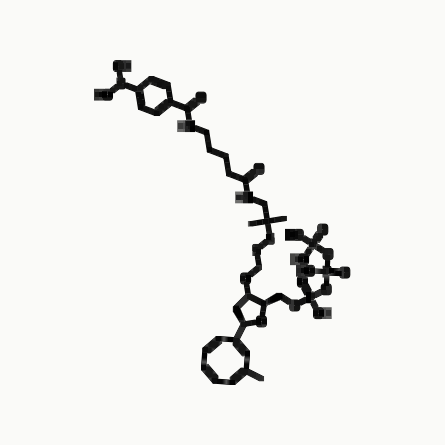 CC1=C/C=C\C=C/C([C@H]2CC(OCSSC(C)(C)CNC(=O)CCCCNC(=O)c3ccc(B(O)O)cc3)[C@@H](COP(=O)(O)OP(=O)(O)OP(=O)(O)O)O2)=C\1